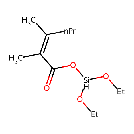 CCCC(C)=C(C)C(=O)O[SiH](OCC)OCC